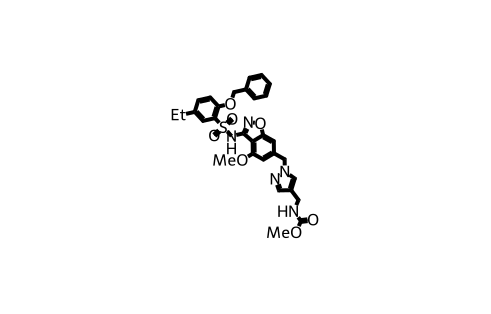 CCc1ccc(OCc2ccccc2)c(S(=O)(=O)Nc2noc3cc(Cn4cc(CNC(=O)OC)cn4)cc(OC)c23)c1